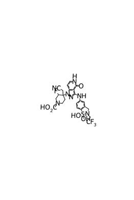 N#CCC1(n2nc(Nc3ccc4c(c3)CN(CC(F)(F)F)S4(O)O)c3c(=O)[nH]ccc32)CCN(C(=O)O)CC1F